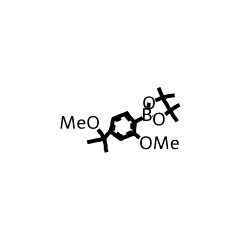 COc1cc(C(C)(C)OC)ccc1B1OC(C)(C)C(C)(C)O1